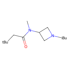 CCC(C)N1CC(N(C)C(=O)CC(C)(C)C)C1